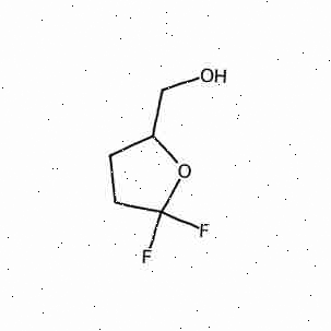 OCC1CCC(F)(F)O1